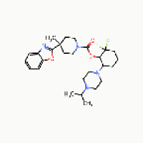 CC(C)N1CCN(C2CCCC(F)(F)[C@@H]2OC(=O)N2CCC(C)(c3nc4ccccc4o3)CC2)CC1